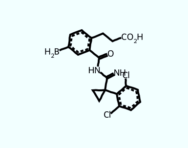 Bc1ccc(CCC(=O)O)c(C(=O)NC(=N)C2(c3c(Cl)cccc3Cl)CC2)c1